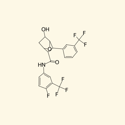 O=C(Nc1ccc(F)c(C(F)(F)F)c1)C1C2CC(O)C(O2)C1c1cccc(C(F)(F)F)c1